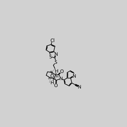 C[C@]12CC[C@](CCSc3nc4cc(Cl)ccc4s3)(O1)[C@@H]1C(=O)N(c3ccc(C#N)c4ncccc34)C(=O)[C@@H]12